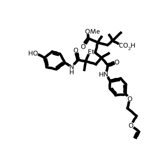 C=COCCOc1ccc(NC(=O)C(C)(CC(C)(CC)C(=O)Nc2ccc(O)cc2)CC(C)(CC(C)(C)C(=O)O)C(=O)OC)cc1